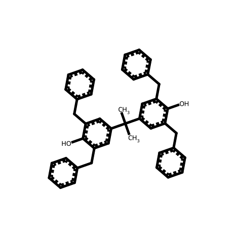 CC(C)(c1cc(Cc2ccccc2)c(O)c(Cc2ccccc2)c1)c1cc(Cc2ccccc2)c(O)c(Cc2ccccc2)c1